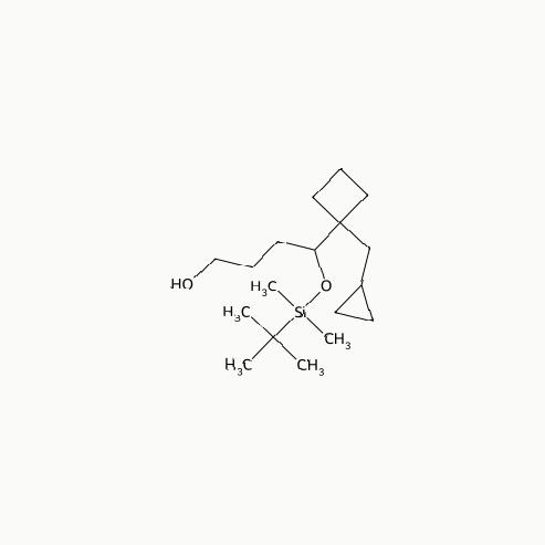 CC(C)(C)[Si](C)(C)OC(CCCO)C1(CC2CC2)CCC1